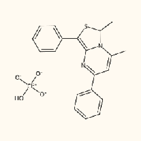 CC1=CC(c2ccccc2)=NC2=C(c3ccccc3)SC(C)N12.[O-][Cl+3]([O-])([O-])O